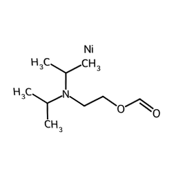 CC(C)N(CCOC=O)C(C)C.[Ni]